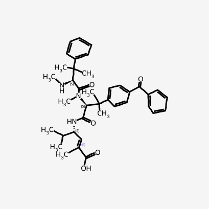 CN[C@H](C(=O)N(C)[C@H](C(=O)N[C@H](/C=C(\C)C(=O)O)C(C)C)C(C)(C)c1ccc(C(=O)c2ccccc2)cc1)C(C)(C)c1ccccc1